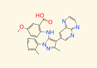 COc1ccc(Nc2c(-c3cnc4nccnc4c3)c(C)nn2-c2ccccc2C)c(C(=O)O)c1